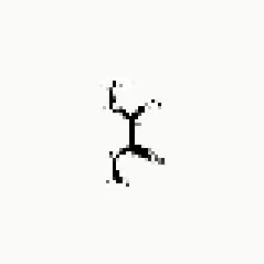 CCCOC(=O)C(CCC)O[C]=O